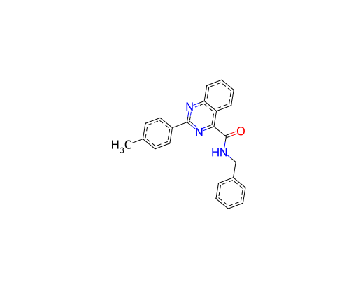 Cc1ccc(-c2nc(C(=O)NCc3ccccc3)c3ccccc3n2)cc1